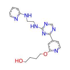 OCCCCOc1cc(-c2ncnc(NCCNc3ccccn3)n2)ccn1